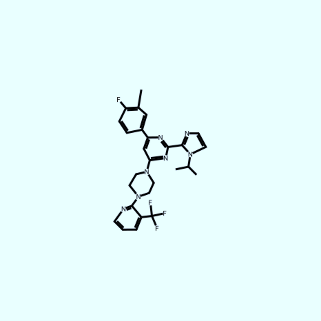 Cc1cc(-c2cc(N3CCN(c4ncccc4C(F)(F)F)CC3)nc(-c3nccn3C(C)C)n2)ccc1F